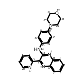 c1ccc(-c2nc3ccccc3nc2Nc2ccc(N3CCOCC3)cc2)nc1